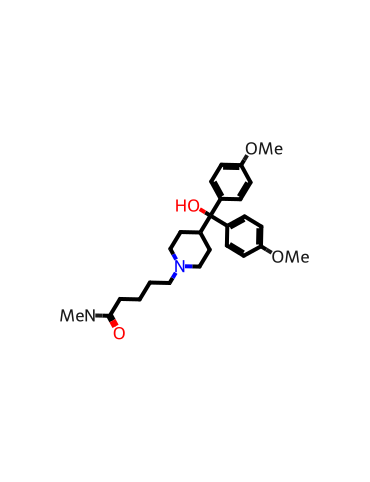 CNC(=O)CCCCN1CCC(C(O)(c2ccc(OC)cc2)c2ccc(OC)cc2)CC1